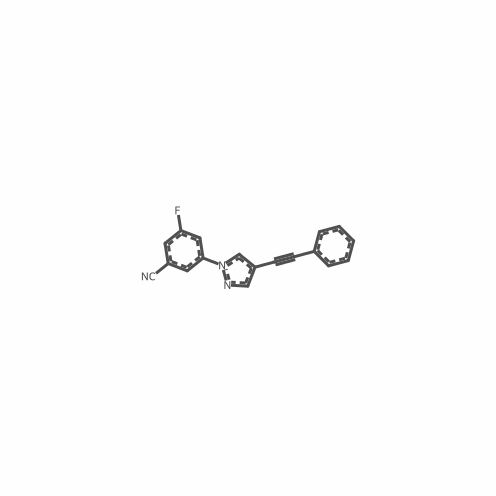 N#Cc1cc(F)cc(-n2cc(C#Cc3ccccc3)cn2)c1